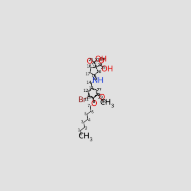 CCCCCCCCOc1c(Br)cc(CNC2CCC(C(=O)O)(C(=O)O)C2)cc1OC